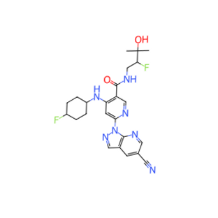 CC(C)(O)C(F)CNC(=O)c1cnc(-n2ncc3cc(C#N)cnc32)cc1NC1CCC(F)CC1